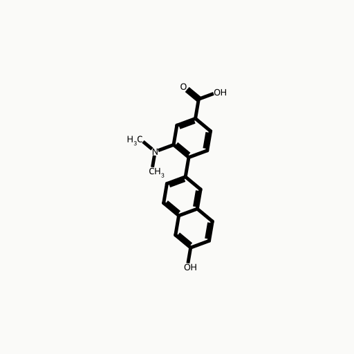 CN(C)c1cc(C(=O)O)ccc1-c1ccc2cc(O)ccc2c1